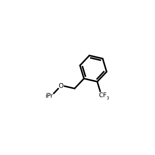 CC(C)OCc1ccccc1C(F)(F)F